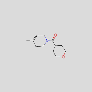 CC1=CCN(C(=O)C2CCOCC2)CC1